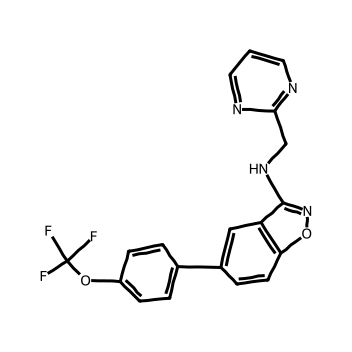 FC(F)(F)Oc1ccc(-c2ccc3onc(NCc4ncccn4)c3c2)cc1